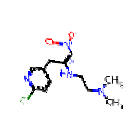 CN(C)CCN/C(=C/[N+](=O)[O-])Cc1ccc(Cl)nc1